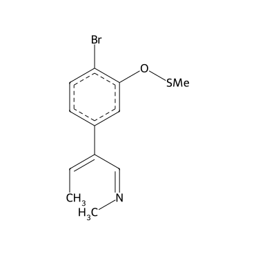 C/C=C(\C=N/C)c1ccc(Br)c(OSC)c1